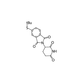 CC(C)(C)Sc1ccc2c(c1)C(=O)N(C1CCC(=O)NC1=O)C2=O